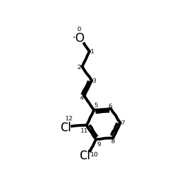 [O]CCC=Cc1cccc(Cl)c1Cl